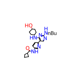 CCCCNc1ncc(-c2ccc(NC(=O)C3CCC3)cn2)c(N[C@H]2CC[C@H](O)CC2)n1